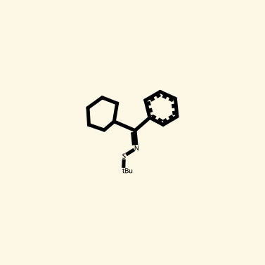 CC(C)(C)SN=C(c1ccccc1)C1CCCCC1